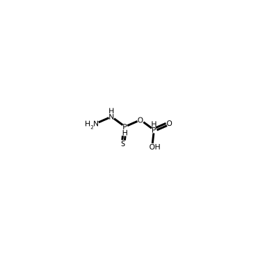 NN[PH](=S)O[PH](=O)O